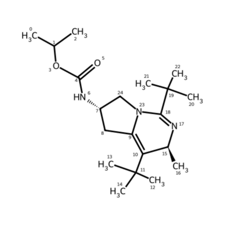 CC(C)OC(=O)N[C@H]1CC2=C(C(C)(C)C)[C@H](C)N=C(C(C)(C)C)N2C1